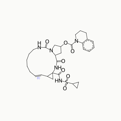 O=C1NC2(C(=O)NS(=O)(=O)C3CC3)CC2/C=C/CCCCCNC(=O)N2CC(OC(=O)N3CCCc4ccccc43)CC12